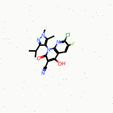 Cc1c(-n2c(=O)c(C#N)c(O)c3cc(F)c(Cl)nc32)c(C(C)C)nn1C